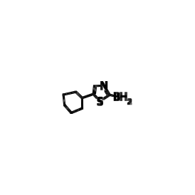 Bc1ncc(C2CCCCC2)s1